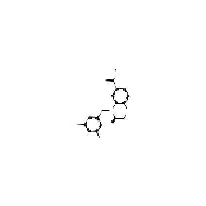 O=C(NO)c1ccc2c(c1)N(Cc1cc(Cl)cc(Cl)c1)C(=O)CO2